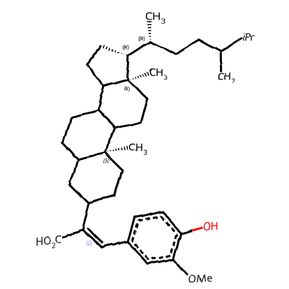 COc1cc(/C=C(/C(=O)O)C2CC[C@@]3(C)C(CCC4C3CC[C@@]3(C)C4CC[C@@H]3[C@H](C)CCC(C)C(C)C)C2)ccc1O